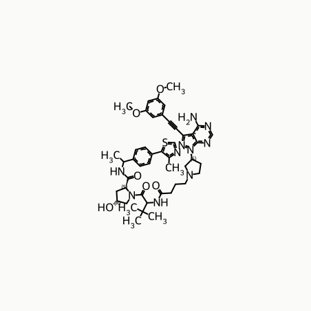 COc1cc(C#Cc2nn([C@H]3CCN(CCCC(=O)NC(C(=O)N4C[C@H](O)C[C@H]4C(=O)NC(C)c4ccc(-c5scnc5C)cc4)C(C)(C)C)C3)c3ncnc(N)c23)cc(OC)c1